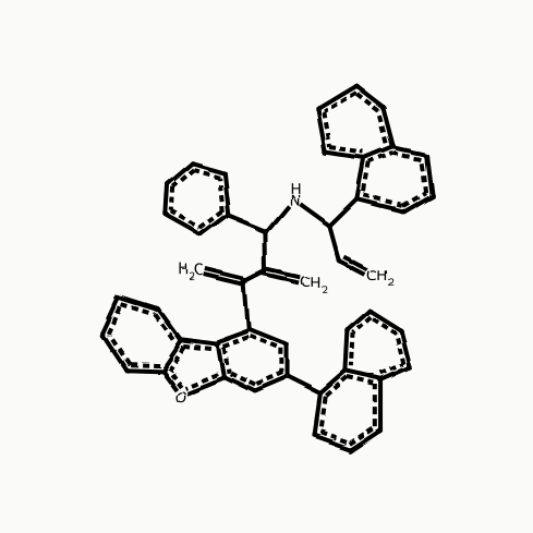 C=CC(NC(C(=C)C(=C)c1cc(-c2cccc3ccccc23)cc2oc3ccccc3c12)c1ccccc1)c1cccc2ccccc12